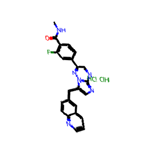 CNC(=O)c1ccc(-c2cnc3ncc(Cc4ccc5ncccc5c4)n3n2)cc1F.Cl.Cl